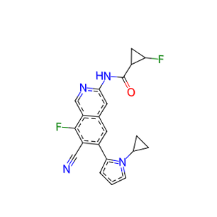 N#Cc1c(-c2cccn2C2CC2)cc2cc(NC(=O)C3CC3F)ncc2c1F